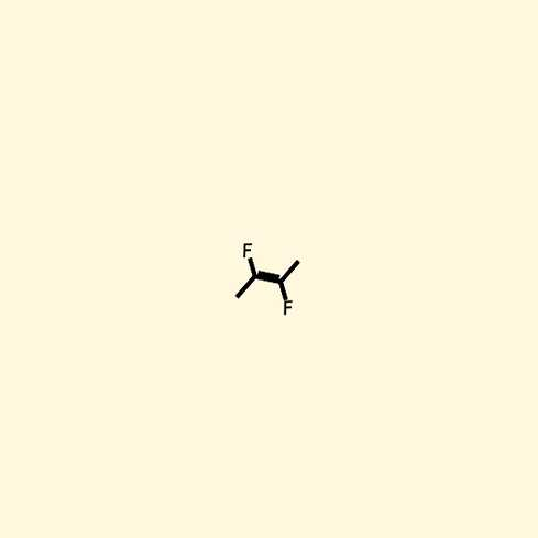 CC(F)=C(C)F